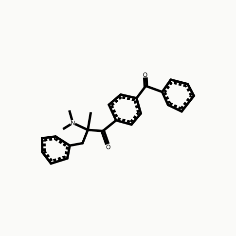 CN(C)C(C)(Cc1ccccc1)C(=O)c1ccc(C(=O)c2ccccc2)cc1